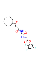 O=C(CCC(=O)/C1=C/CCCCCCCCC1)NCC(=O)NCC(=O)Oc1c(F)c(F)cc(F)c1F